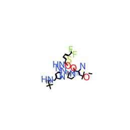 CCOC(C)(C)/C=C(\C#N)C(=O)N1CCC[C@@H]1Cn1c(NC(=O)c2ccc(C(F)F)s2)nc2cc(CN[C@@H](C)C(C)(C)C)cnc21